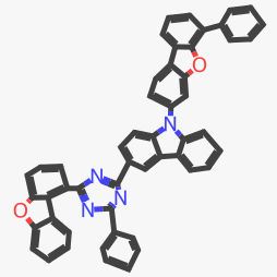 c1ccc(-c2nc(-c3ccc4c(c3)c3ccccc3n4-c3ccc4c(c3)oc3c(-c5ccccc5)cccc34)nc(-c3cccc4oc5ccccc5c34)n2)cc1